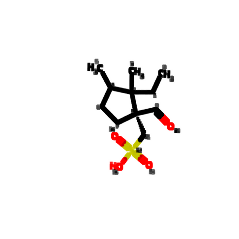 CCC1(C)C(C)CC[C@@]1(C=O)CS(=O)(=O)O